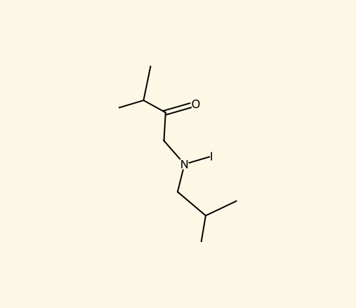 CC(C)CN(I)CC(=O)C(C)C